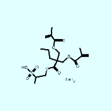 C=C(C)C(=O)OCC(CCC)(COC(=O)C(=C)C)C(=O)OCC(C)S(=O)(=O)O.[CaH2]